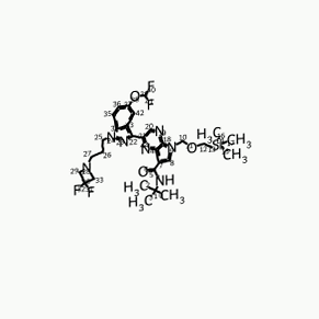 CC(C)(C)NC(=O)c1cn(COCC[Si](C)(C)C)c2ncc(-c3nn(CCCN4CC(F)(F)C4)c4ccc(OC(F)F)cc34)nc12